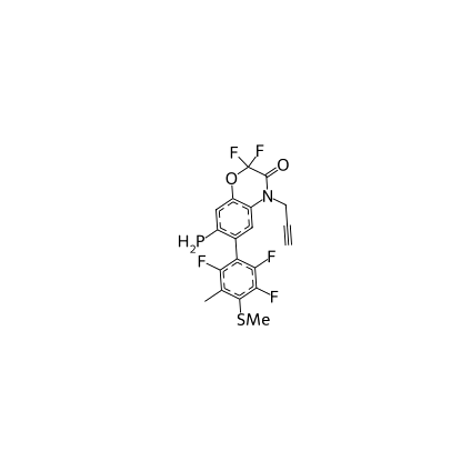 C#CCN1C(=O)C(F)(F)Oc2cc(P)c(-c3c(F)c(C)c(SC)c(F)c3F)cc21